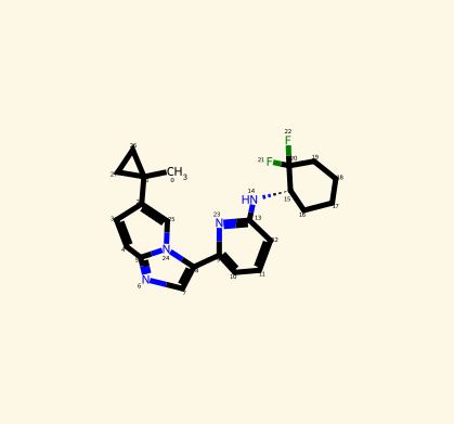 CC1(c2ccc3ncc(-c4cccc(N[C@H]5CCCCC5(F)F)n4)n3c2)CC1